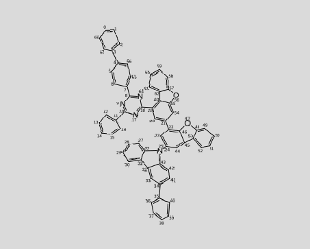 c1ccc(-c2ccc(-c3nc(-c4ccccc4)nc(-c4cc(-c5cc(-n6c7ccccc7c7cc(-c8ccccc8)ccc76)cc6c5oc5ccccc56)cc5oc6ccccc6c45)n3)cc2)cc1